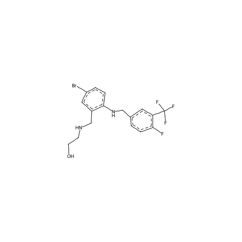 OCCNCc1cc(Br)ccc1NCc1ccc(F)c(C(F)(F)F)c1